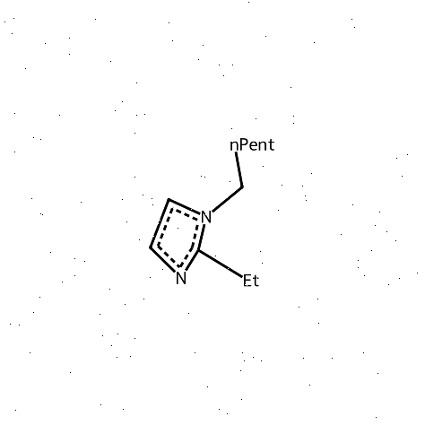 CCCCCCn1ccnc1CC